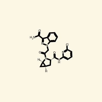 NC(=O)c1nn(CC(=O)N2[C@@H]3C[C@@H]3C[C@H]2C(=O)Nc2cccc(Cl)n2)c2ccccc12